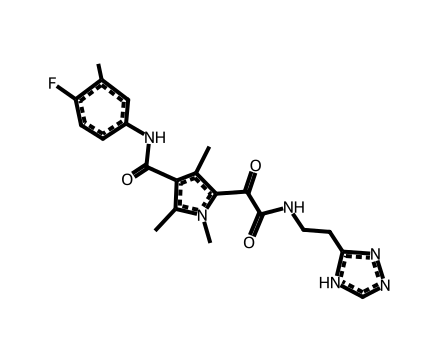 Cc1cc(NC(=O)c2c(C)c(C(=O)C(=O)NCCc3nnc[nH]3)n(C)c2C)ccc1F